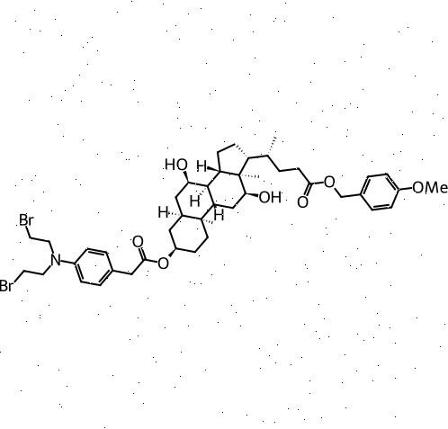 COc1ccc(COC(=O)CC[C@@H](C)[C@H]2CC[C@H]3[C@@H]4[C@H](O)C[C@@H]5C[C@H](OC(=O)Cc6ccc(N(CCBr)CCBr)cc6)CC[C@]5(C)[C@H]4C[C@H](O)[C@]23C)cc1